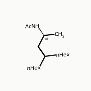 CCCCCCC(CCCCCC)C[C@@H](C)NC(C)=O